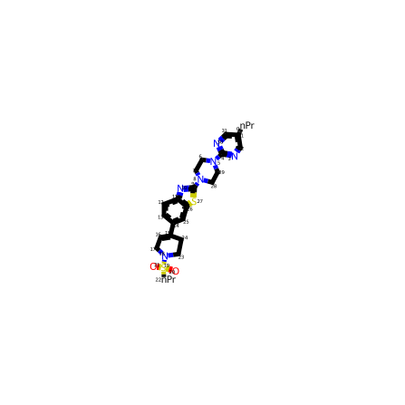 CCCc1cnc(N2CCN(c3nc4ccc(C5=CCN(S(=O)(=O)CCC)CC5)cc4s3)CC2)nc1